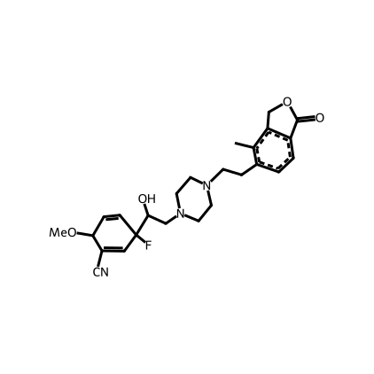 COC1C=CC(F)(C(O)CN2CCN(CCc3ccc4c(c3C)COC4=O)CC2)C=C1C#N